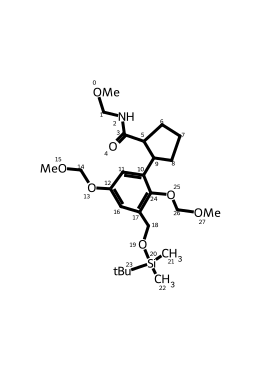 COCNC(=O)C1CCCC1c1cc(OCOC)cc(CO[Si](C)(C)C(C)(C)C)c1OCOC